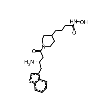 N[C@H](CC(=O)N1CCC(CCCC(=O)NO)CC1)Cc1csc2ccccc12